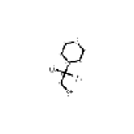 CC(C)(CO)N1CCOCC1